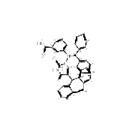 O=C(O)c1cccc(N(C(c2ccccc2)c2ccccc2)n2cc(C3c4ccccc4C=Cc4ccccc43)c(=S)[nH]c2=O)c1